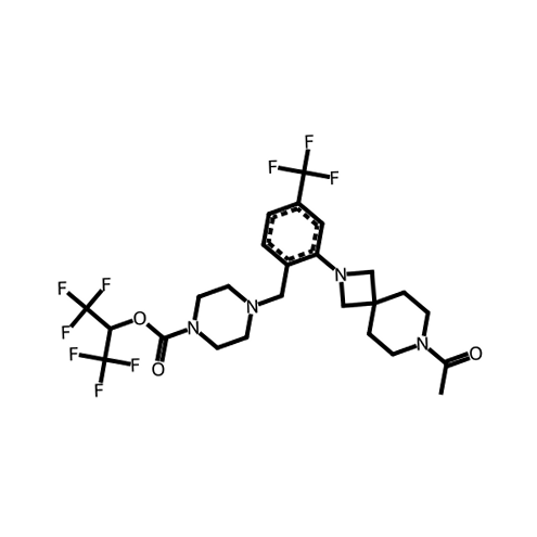 CC(=O)N1CCC2(CC1)CN(c1cc(C(F)(F)F)ccc1CN1CCN(C(=O)OC(C(F)(F)F)C(F)(F)F)CC1)C2